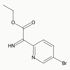 CCOC(=O)C(=N)c1ccc(Br)cn1